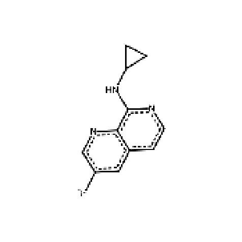 Brc1cnc2c(NC3CC3)nccc2c1